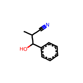 CC(C#N)C(O)c1ccccc1